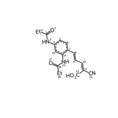 CCC(=O)Nc1ccc(C=CC=C(C#N)C(=O)O)c(NC(=O)CC)c1